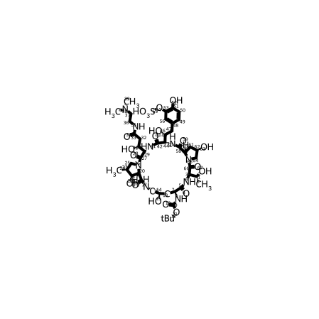 C[C@@H](O)C1NC(=O)[C@@H](NC(=O)OC(C)(C)C)C[C@@H](O)CNC(=O)[C@@H]2[C@@H](O)[C@@H](C)CN2C(=O)[C@H]([C@H](O)CC(=O)NCCN(C)C)NC(=O)[C@H]([C@H](O)Cc2ccc(O)c(OS(=O)(=O)O)c2)NC(=O)[C@@H]2C[C@@H](O)CN2C1=O